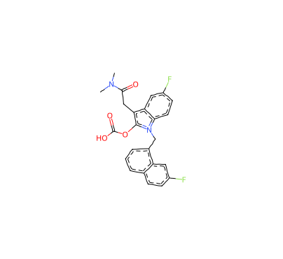 CN(C)C(=O)Cc1c(OC(=O)O)n(Cc2cccc3ccc(F)cc23)c2ccc(F)cc12